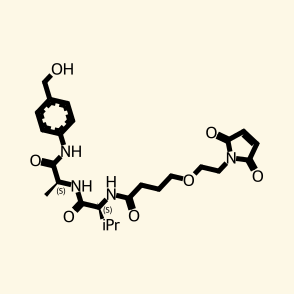 CC(C)[C@H](NC(=O)CCCOCCN1C(=O)C=CC1=O)C(=O)N[C@@H](C)C(=O)Nc1ccc(CO)cc1